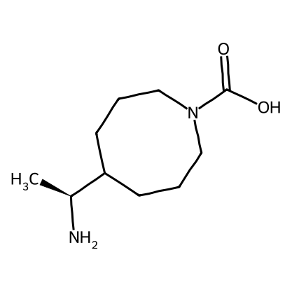 C[C@H](N)C1CCCN(C(=O)O)CCC1